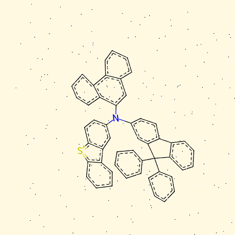 c1ccc(C2(c3ccccc3)c3ccccc3-c3ccc(N(c4ccc5sc6ccccc6c5c4)c4cc5ccccc5c5ccccc45)cc32)cc1